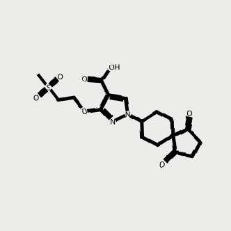 CS(=O)(=O)CCOc1nn(C2CCC3(CC2)C(=O)CCC3=O)cc1C(=O)O